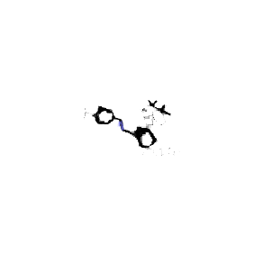 COc1cc(/C=C/c2ccc(F)cc2)cc(B2OC(C)(C)C(C)(C)O2)c1